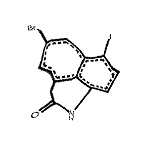 O=C1Nc2ccc(I)c3cc(Br)cc1c23